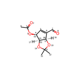 CC(=O)O[C@H]1C=C(C=O)[C@H]2OC(C)(C)O[C@@H]12